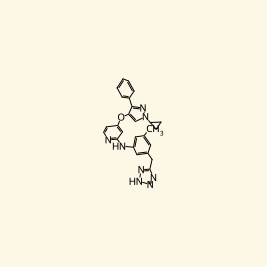 Cc1cc(Cc2nn[nH]n2)cc(Nc2cc(Oc3cn(C4CC4)nc3-c3ccccc3)ccn2)c1